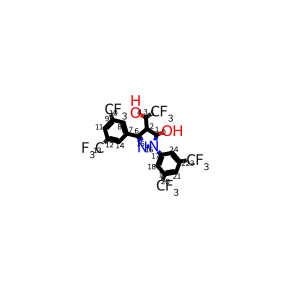 OC1C(C(O)C(F)(F)F)C(c2cc(C(F)(F)F)cc(C(F)(F)F)c2)=NN1c1cc(C(F)(F)F)cc(C(F)(F)F)c1